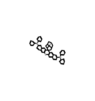 c1ccc(N(c2ccccc2)c2ccc3cc4c(cc3c2)C2(c3cc5cc(N(c6ccccc6)c6ccccc6)ccc5cc3S4)C3CC4CC5CC2C5(C4)C3)cc1